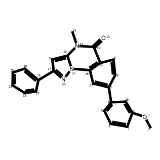 COc1cccc(-c2ccc3c(=O)n(C)c4cc(-c5ccccc5)nn4c3c2)c1